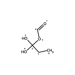 CCC(O)(O)OC=O